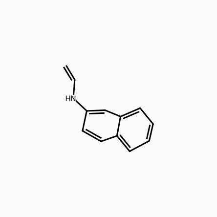 C=CNc1ccc2ccccc2c1